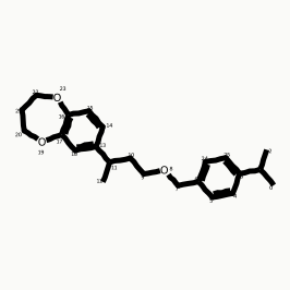 CC(C)c1ccc(COCCC(C)c2ccc3c(c2)OCCCO3)cc1